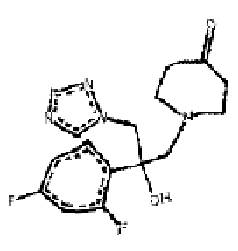 O=C1CCN(CC(O)(Cn2cncn2)c2ccc(F)cc2F)CC1